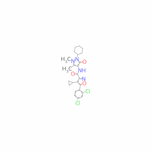 Cc1c(NC(=O)c2noc(-c3ccc(Cl)cc3Cl)c2C2CC2)c(=O)n(C2CCCCC2)n1C